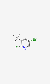 CC(C)(C)c1cc(Br)cnc1F